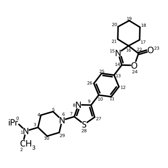 CC(C)N(C)C1CCN(c2nc(-c3ccc(C4=NC5(CCCCC5)C(=O)O4)cc3)cs2)CC1